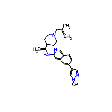 C=C(C)CN1CCC(C(=C)Nc2cc3cc(-c4cnn(C)c4)ccc3cn2)CC1